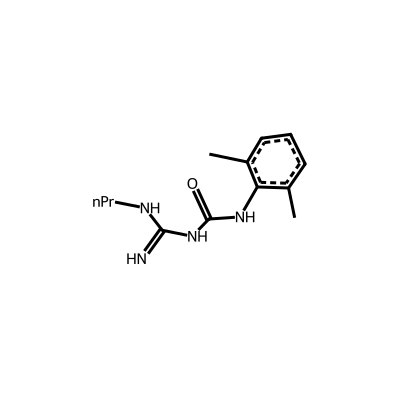 CCCNC(=N)NC(=O)Nc1c(C)cccc1C